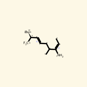 C/C=C(/N)C(C)C/C=C/C([C@H](C)CC)C(F)(F)F